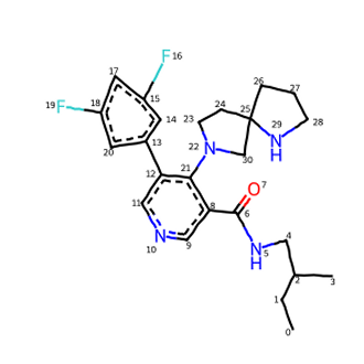 CCC(C)CNC(=O)c1cncc(-c2cc(F)cc(F)c2)c1N1CCC2(CCCN2)C1